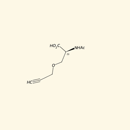 C#CCOC[C@H](NC(C)=O)C(=O)O